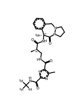 [2H]C([2H])([2H])NC(=O)c1nc(C)c(C(=O)NC[C@@H](C)C(=O)N[C@]2([2H])C(=O)N3CCCN3Cc3ccccc32)s1